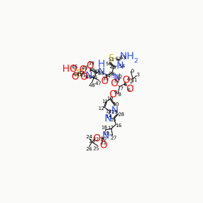 CC(C)(C)OC(=O)C(COc1ccc2nc(CC3CN(C(=O)OC(C)(C)C)C3)cn2c1)O/N=C(\C(=O)N[C@@H]1C(=O)N(OS(=O)(=O)O)C1(C)C)c1csc(N)n1